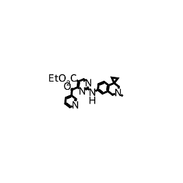 CCOC(=O)c1cnc(Nc2ccc3c(c2)CN(C)CC32CC2)nc1C(=O)c1cccnc1